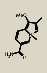 COC1=C2C=CC(C(N)=O)=C[N+]2(C)C=C1C